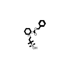 CC(C)(CC[C@@H]1CCCC[C@@H]1C(=O)OCc1ccccc1)[Si](C)(C)O